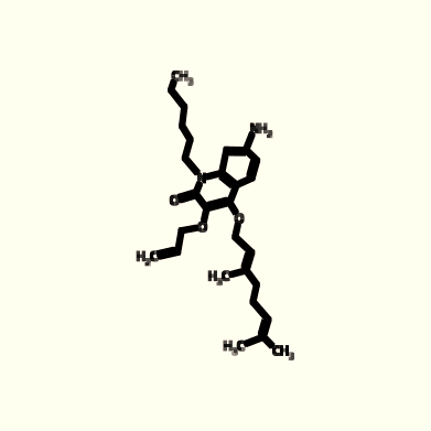 C=CCOc1c(OC/C=C(\C)CCC=C(C)C)c2ccc(N)cc2n(CCCCCC)c1=O